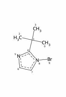 CC(C)(C)c1nccn1Br